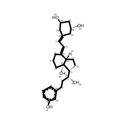 C[C@H](CCc1cccc(O)c1)[C@H]1CC[C@H]2/C(=C/C=C3C[C@@H](O)C[C@H](O)C3)CCC[C@]12C